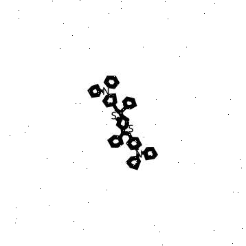 c1ccc(-c2c(-c3ccc(N(c4ccccc4)c4ccccc4)cc3)sc3cc4c(-c5ccccc5)c(-c5ccc(N(c6ccccc6)c6ccccc6)cc5)sc4cc23)cc1